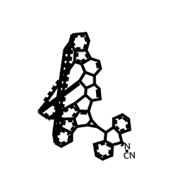 N#CN=C1c2ccccc2C(C2C3C4=c5c6c7c8c9c%10c%11c(c%12ccc%13c%14ccc%15c(c5c5c%15c%14c(c%13c%12%10)c9c75)C32)C=CC2C%11C=8C3C2C=CC4C63)c2ccccc21